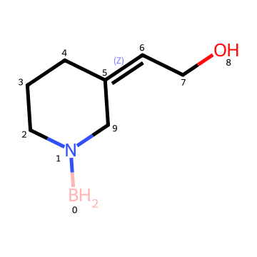 BN1CCC/C(=C/CO)C1